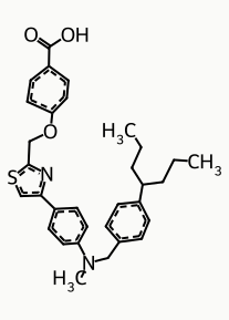 CCCC(CCC)c1ccc(CN(C)c2ccc(-c3csc(COc4ccc(C(=O)O)cc4)n3)cc2)cc1